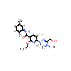 CCN(C=O)/C(CO)=N\N(C)c1nc(OCC(F)(F)F)c(C(=O)Nc2cc(C#N)ccc2Cl)cc1F